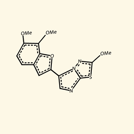 COc1nn2c(-c3cc4ccc(OC)c(OC)c4o3)cnc2s1